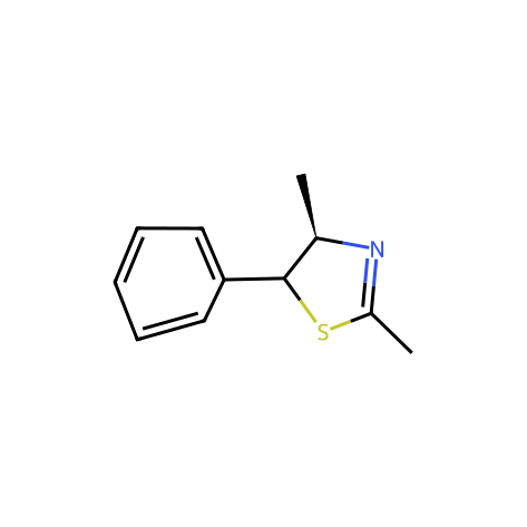 CC1=N[C@H](C)C(c2ccccc2)S1